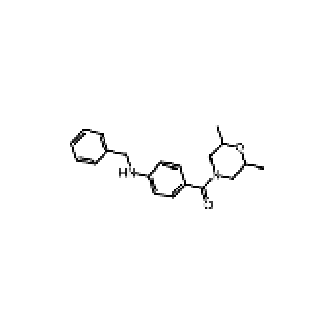 CC1CN(C(=O)c2ccc(NCc3ccccc3)cc2)CC(C)O1